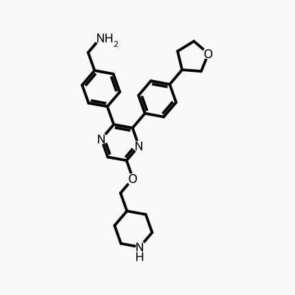 NCc1ccc(-c2ncc(OCC3CCNCC3)nc2-c2ccc(C3CCOC3)cc2)cc1